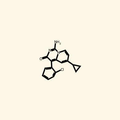 Nc1nc(=O)c(-c2ccccc2Cl)c2cc(C3CC3)ccn12